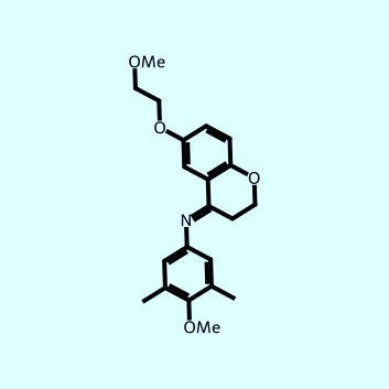 COCCOc1ccc2c(c1)/C(=N/c1cc(C)c(OC)c(C)c1)CCO2